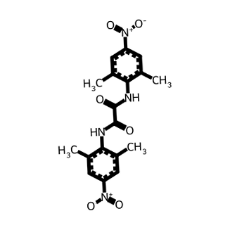 Cc1cc([N+](=O)[O-])cc(C)c1NC(=O)C(=O)Nc1c(C)cc([N+](=O)[O-])cc1C